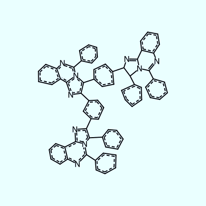 c1ccc(C2=Nc3ccccc3C3=NC(c4ccc(-c5c(-c6cccc(-c7nc8c9ccccc9nc(-c9ccccc9)n8c7-c7ccccc7)c6)nc6c7ccccc7nc(-c7ccccc7)n56)cc4)C(c4ccccc4)N23)cc1